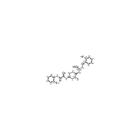 C[C@H]1CN(CC(=O)NCc2ccccc2F)CCN1C[C@@H](O)COc1ccccc1F